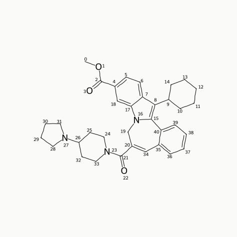 COC(=O)c1ccc2c(C3CCCCC3)c3n(c2c1)CC(C(=O)N1CCC(N2CCCC2)CC1)=Cc1ccccc1-3